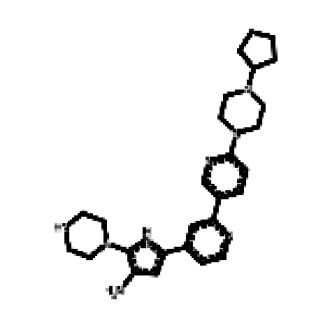 Nc1cc(-c2ccnc(-c3ccc(N4CCN(C5CCCC5)CC4)nc3)c2)[nH]c1N1CCNCC1